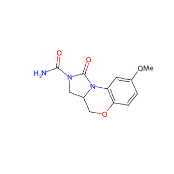 COc1ccc2c(c1)N1C(=O)N(C(N)=O)CC1CO2